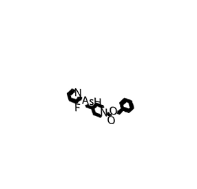 O=C(OCc1ccccc1)N1CCC(C[AsH]c2ncccc2F)CC1